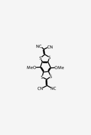 [C-]#[N+]C([N+]#[C-])=C1Sc2c(OC)c3c(c(OC)c2S1)SC(=C(C#N)C#N)S3